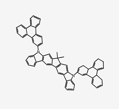 CC1(C)c2cc3c(cc2-c2cc4c5ccccc5n(-c5ccc6c7ccccc7c7ccccc7c6c5)c4cc21)c1ccccc1n3C1=CCC2C3=CCCC=C3C3CC=CC=C3C2=C1